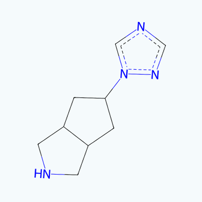 c1ncn(C2CC3CNCC3C2)n1